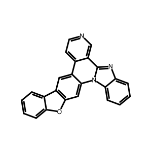 c1ccc2c(c1)nc1c3cnccc3c3cc4c(cc3n21)oc1ccccc14